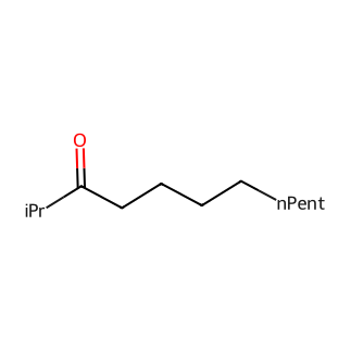 [CH2]C(C)C(=O)CCCCCCCCC